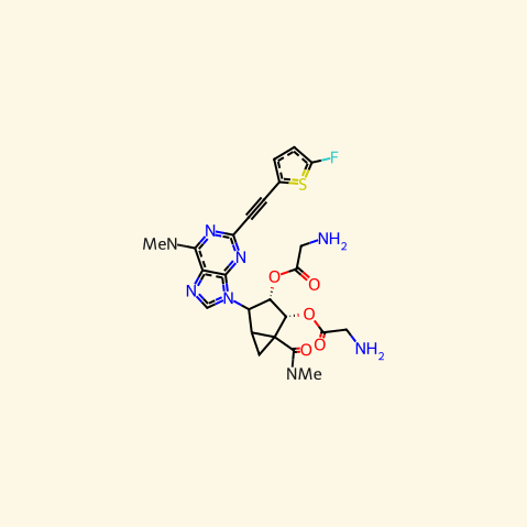 CNC(=O)C12CC1C(n1cnc3c(NC)nc(C#Cc4ccc(F)s4)nc31)[C@H](OC(=O)CN)[C@@H]2OC(=O)CN